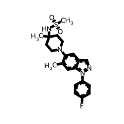 Cc1cc2c(cnn2-c2ccc(F)cc2)cc1N1CCC(C)(NS(C)(=O)=O)CC1